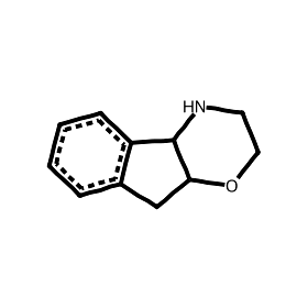 c1ccc2c(c1)CC1OCCNC21